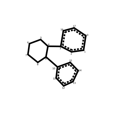 [c]1ccc(C2CCCCC2c2[c]cccc2)cc1